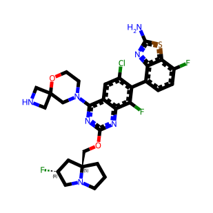 Nc1nc2c(-c3c(Cl)cc4c(N5CCOC6(CNC6)C5)nc(OC[C@@]56CCCN5C[C@H](F)C6)nc4c3F)ccc(F)c2s1